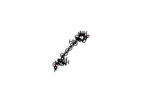 CN[C@H](C)C(=O)N[C@@H](C(=O)N1CCC[C@@H]1C1=NC(C(=O)c2ccc(F)cc2)CS1)C1CCN(C(=O)CCOCCOCCOCCOCCC(=O)NCCn2nc3c(c2OC)-c2cnc(N)c(c2)N2CCC[C@@H]2c2cc(F)ccc2C(=O)N(C)C3)CC1